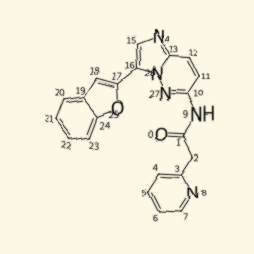 O=C(Cc1ccccn1)Nc1ccc2ncc(-c3cc4ccccc4o3)n2n1